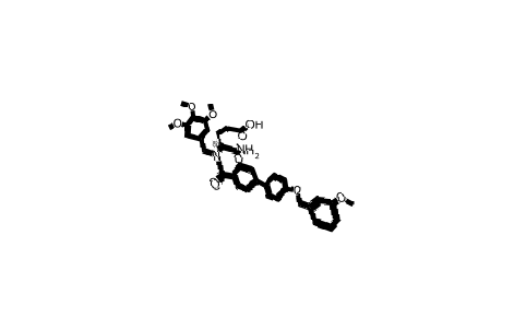 COc1cccc(COc2ccc(-c3ccc(C(=O)N(Cc4cc(OC)c(OC)c(OC)c4)[C@@H](CCC(=O)O)C(N)=O)cc3)cc2)c1